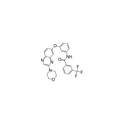 O=C(Nc1cccc(Oc2ccc3ncc(N4CCOCC4)nc3c2)c1)c1cccc(C(F)(F)F)c1